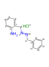 Cl.Nc1ccccc1CN=NCc1ccccc1